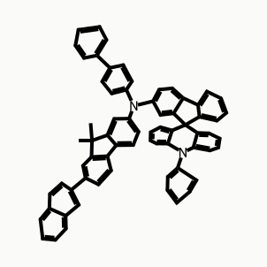 CC1(C)c2cc(-c3ccc4ccccc4c3)ccc2-c2ccc(N(c3ccc(-c4ccccc4)cc3)c3ccc4c(c3)C3(c5ccccc5-4)c4ccccc4N(c4ccccc4)c4ccccc43)cc21